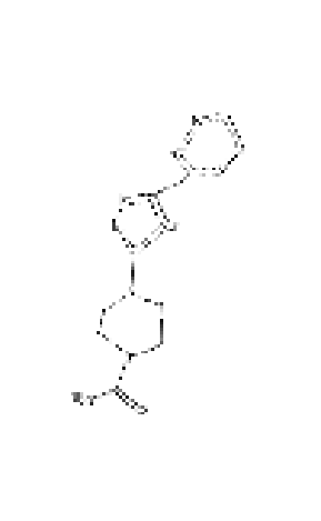 CC(C)(C)C(=O)N1CCN(c2nnc(-c3cccnc3)o2)CC1